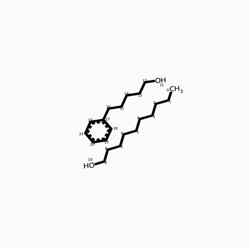 CCCCCCCCCCO.OCCCCCc1ccccc1